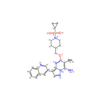 Bc1c(OCC2CCN(S(=O)(=O)C3CC3)CC2)nc2c(-c3cnc4ccccc4c3)cnn2c1N